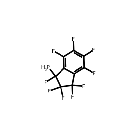 Fc1c(F)c(F)c2c(c1F)C(F)(F)C(F)(F)C2(F)P